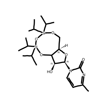 Cc1ccn([C@@H]2O[C@@H]3CO[Si](C(C)C)(C(C)C)O[Si](C(C)C)(C(C)C)OC3[C@@H]2O)c(=O)n1